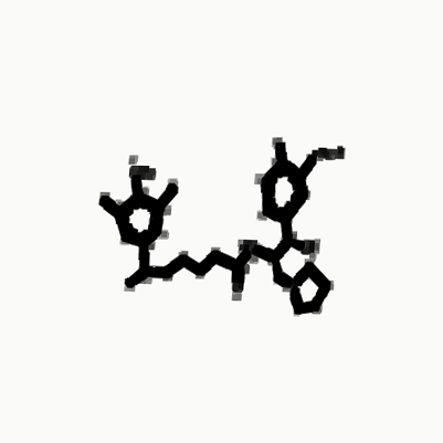 CCCCCc1cc([C@@H](O)[C@@H](CN2CCCC2)NC(=O)CCCCC(C)c2cc(C)c(OC)c(C)c2)ccc1C